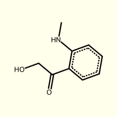 CNc1ccccc1C(=O)CO